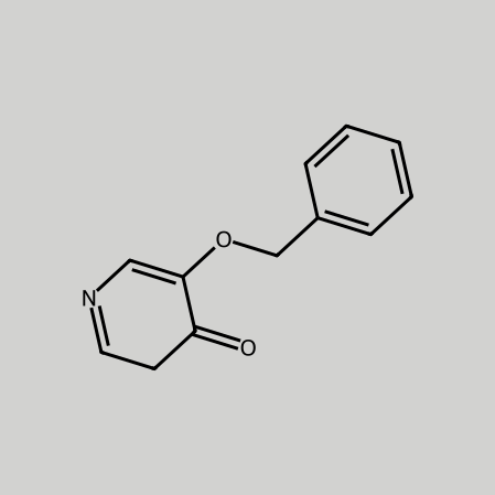 O=C1CC=NC=C1OCc1ccccc1